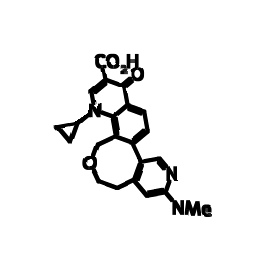 CNc1cc2c(cn1)-c1ccc3c(=O)c(C(=O)O)cn(C4CC4)c3c1COCC2